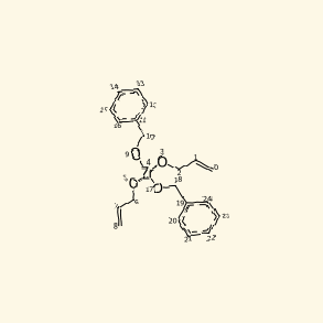 C=CC[O][Zr]([O]CC=C)([O]Cc1ccccc1)[O]Cc1ccccc1